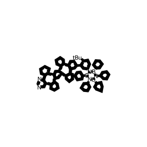 CC(C)(C)c1ccc(N2B(c3ccccc3)N(c3ccccc3)B(c3ccccc3)N(c3ccccc3)B2c2ccccc2)cc1-c1ccc2c3ccccc3c3cc4c(cc3c3ccccc3c2c1)c1ccccc1c1cncnc1c1ccccc41